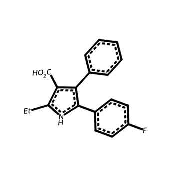 CCc1[nH]c(-c2ccc(F)cc2)c(-c2ccccc2)c1C(=O)O